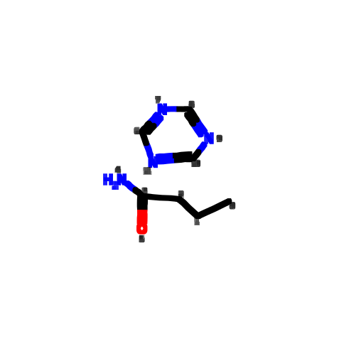 CCCC(N)=O.c1ncncn1